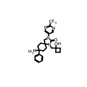 NC1(c2ccccc2)CCC2(CC1)CN(c1cnc(C(F)(F)F)nc1)C(=O)N2CC1(O)CCC1